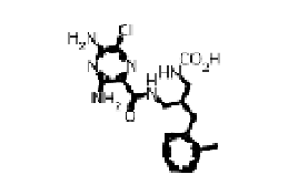 Cc1ccccc1CC(CNC(=O)O)CNC(=O)c1nc(Cl)c(N)nc1N